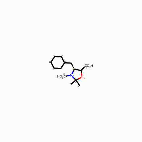 CC1(C)OC(C(=O)O)[C@H](CC2CCCCC2)N1C(=O)O